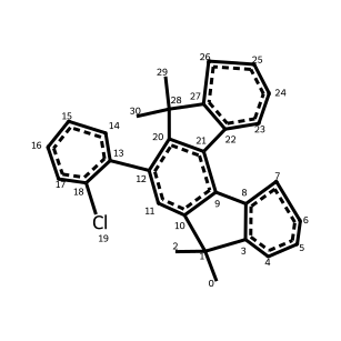 CC1(C)c2ccccc2-c2c1cc(-c1ccccc1Cl)c1c2-c2ccccc2C1(C)C